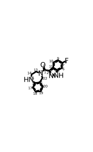 O=C(c1n[nH]c2cc(F)ccc12)N1CCNc2ccccc2C1